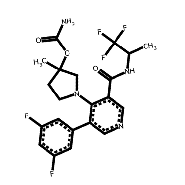 CC(NC(=O)c1cncc(-c2cc(F)cc(F)c2)c1N1CCC(C)(OC(N)=O)C1)C(F)(F)F